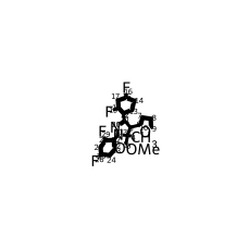 COC(=O)C1(C)C(c2ccco2)C(c2ccc(F)cc2F)=NN1c1ccc(F)cc1F